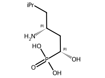 CC(C)C[C@@H](N)C[C@H](O)P(=O)(O)O